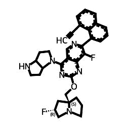 C#Cc1cccc2cccc(-c3ncc4c(N5CCC6NCCC65)nc(OC[C@@]56CCCN5C[C@H](F)C6)nc4c3F)c12